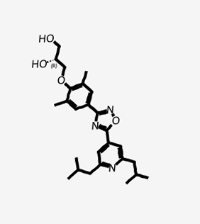 Cc1cc(-c2noc(-c3cc(CC(C)C)nc(CC(C)C)c3)n2)cc(C)c1OC[C@H](O)CO